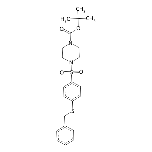 CC(C)(C)OC(=O)N1CCN(S(=O)(=O)c2ccc(SCc3ccccc3)cc2)CC1